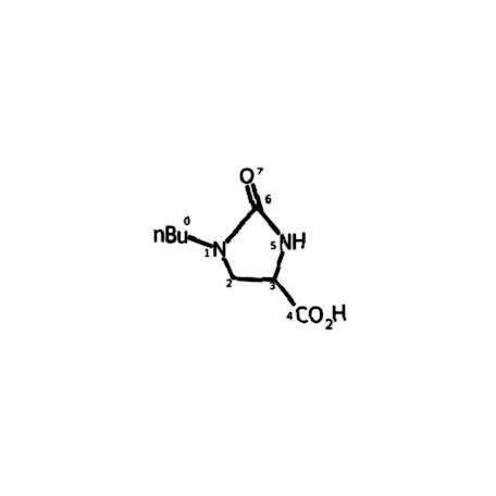 CCCCN1CC(C(=O)O)NC1=O